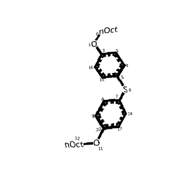 CCCCCCCCOc1ccc(Sc2ccc(OCCCCCCCC)cc2)cc1